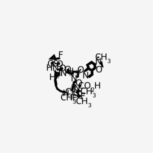 CC[C@@H]1C[C@H](C)CCC=C[C@@H]2C[C@@]2(C(=O)NS(=O)(=O)C2(CF)CC2)NC(=O)[C@@H]2C[C@@H](Oc3nccc4c5c(ccc34)N(C)CCO5)CN2C(=O)[C@H]1N(C(=O)O)C(C)(C)C(C)(F)F